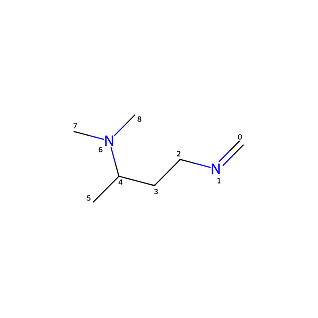 C=NCCC(C)N(C)C